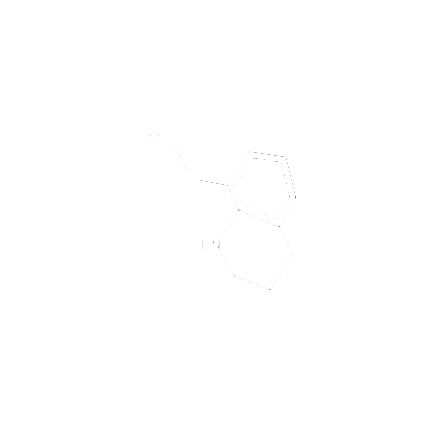 O=C(O)Oc1cccc2c1NCCC2